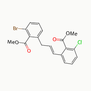 COC(=O)c1c(Cl)cccc1/C=C/Cc1cccc(Br)c1C(=O)OC